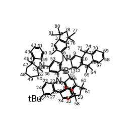 Cc1cc2c(cc1N1c3cc4c(cc3B3c5cc6c(cc5N(c5ccc(C(C)(C)C)cc5-c5ccccc5)c5cc(N7c8ccccc8C8(C)CCCCC78C)cc1c53)C(C)(C)CC6(C)C)C(C)(C)c1ccccc1C4(C)C)C(C)(C)CC2(C)C